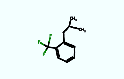 CC(C)[CH]c1ccccc1C(F)(F)F